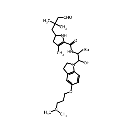 CCCCC(NC(=O)C1=C(C)CC(CC(C)(C)CC=O)N1)C(O)N1CCc2cc(OCCCN(C)C)ccc21